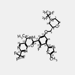 [2H]C([2H])([2H])N1CCO[C@@H](COc2cc(C(=O)N[C@H](C)c3cnc(C(F)(F)F)nc3)c(F)c(-c3ncc(C)s3)c2)C1